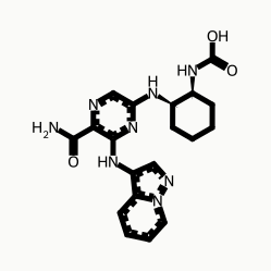 NC(=O)c1ncc(N[C@@H]2CCCC[C@@H]2NC(=O)O)nc1Nc1cnn2ccccc12